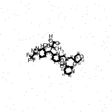 Cc1ccc([C@@H](c2ccn3c(C(F)(F)F)nnc3c2C)C(C)(C)C(=O)O)nc1CN1CC2(CCOCC2)Oc2ncccc2S1(=O)=O